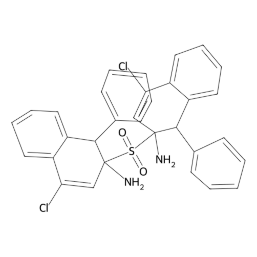 NC1(S(=O)(=O)C2(N)C=C(Cl)c3ccccc3C2c2ccccc2)C=C(Cl)c2ccccc2C1c1ccccc1